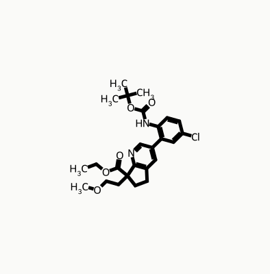 CCOC(=O)C1(CCOC)CCc2cc(-c3cc(Cl)ccc3NC(=O)OC(C)(C)C)cnc21